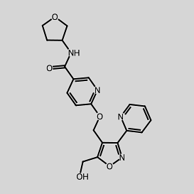 O=C(NC1CCOC1)c1ccc(OCc2c(-c3ccccn3)noc2CO)nc1